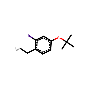 CC(C)(C)Oc1ccc(C[SiH3])c(I)c1